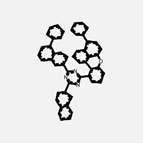 c1ccc(-c2cccc3cc(-c4nc(-c5ccc6ccccc6c5)nc(-c5cccc6c5-c5cccc7c(-c8ccccc8)ccc(c57)O6)n4)ccc23)cc1